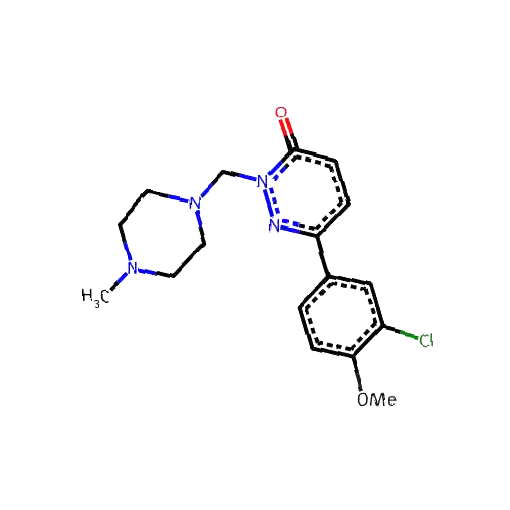 COc1ccc(-c2ccc(=O)n(CN3CCN(C)CC3)n2)cc1Cl